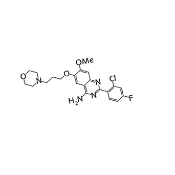 COc1cc2nc(-c3ccc(F)cc3Cl)nc(N)c2cc1OCCCN1CCOCC1